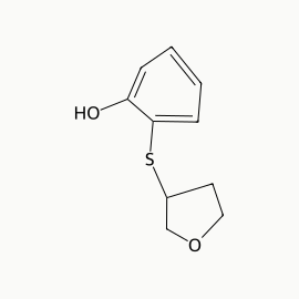 Oc1ccccc1SC1CCOC1